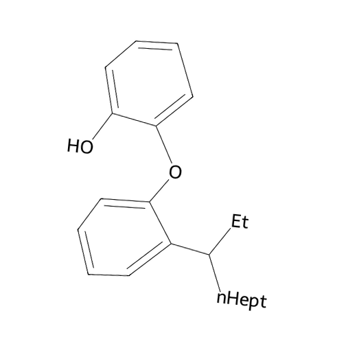 CCCCCCCC(CC)c1ccccc1Oc1ccccc1O